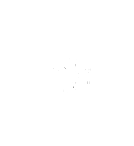 CCCC1CC(=O)C([C@@H]2O[C@H](CO)[C@@H](O)[C@H](O)[C@@H]2O)=CC1CC